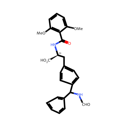 COc1cccc(OC)c1C(=O)N[C@@H](Cc1ccc(C(NC=O)c2ccccc2)cc1)C(=O)O